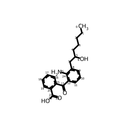 CCCCCC(O)Cc1cccc(C(=O)c2ccccc2C(=O)O)c1N